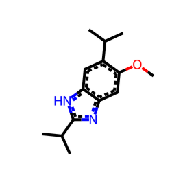 COc1cc2nc(C(C)C)[nH]c2cc1C(C)C